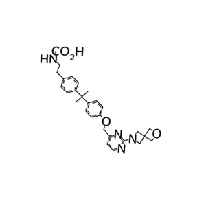 CC(C)(c1ccc(CCNC(=O)O)cc1)c1ccc(OCc2ccnc(N3CC4(COC4)C3)n2)cc1